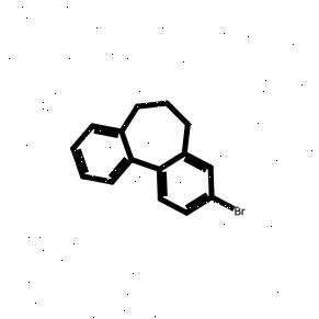 Brc1ccc2c(c1)CCCc1ccccc1-2